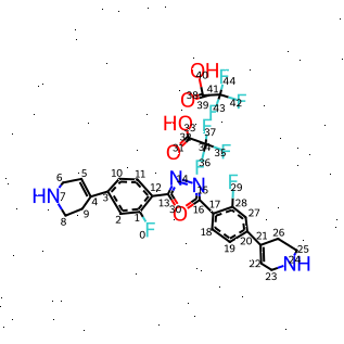 Fc1cc(C2=CCNCC2)ccc1-c1nnc(-c2ccc(C3=CCNCC3)cc2F)o1.O=C(O)C(F)(F)F.O=C(O)C(F)(F)F